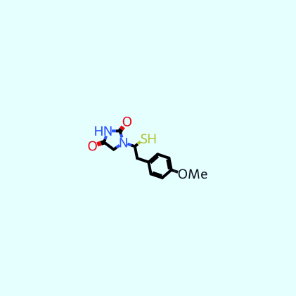 COc1ccc(CC(S)N2CC(=O)NC2=O)cc1